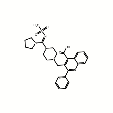 CS(=O)(=O)N=C(N1CCCC1)N1CCN(Cc2c(-c3ccccc3)nc3ccccc3c2C(=O)O)CC1